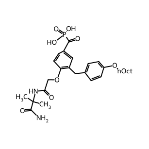 CCCCCCCCOc1ccc(Cc2cc(C(=O)P(=O)(O)O)ccc2OCC(=O)NC(C)(C)C(N)=O)cc1